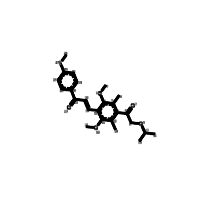 COc1c(C)c(C(=O)COC(C)C)c(C)c(OC)c1C=CC(=O)c1ccc(SC)cc1